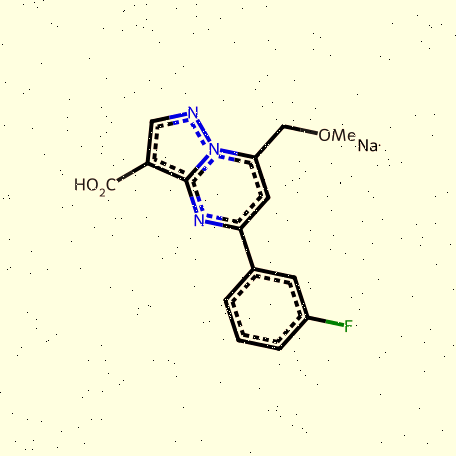 COCc1cc(-c2cccc(F)c2)nc2c(C(=O)O)cnn12.[Na]